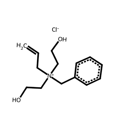 C=CC[N+](CCO)(CCO)Cc1ccccc1.[Cl-]